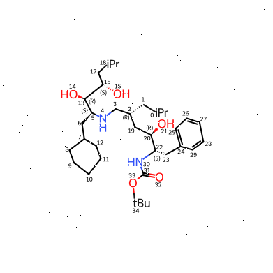 CC(C)C[C@@H](CN[C@@H](CC1CCCCC1)[C@@H](O)[C@@H](O)CC(C)C)C[C@@H](O)[C@H](Cc1ccccc1)NC(=O)OC(C)(C)C